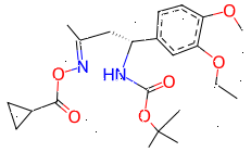 CCOc1cc([C@@H](CC(C)=NOC(=O)C2CC2)NC(=O)OC(C)(C)C)ccc1OC